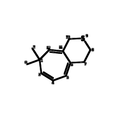 CC1(C)C=CC=C2CCSCC2=C1